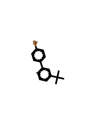 CC(C)(C)c1cc[c]c(-c2ccc(Br)cc2)c1